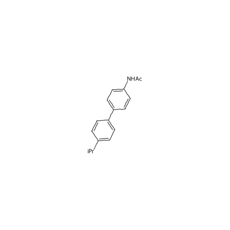 CC(=O)Nc1ccc(-c2ccc(C(C)C)cc2)cc1